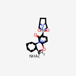 CC(=O)NCOc1ccc(S(=O)(=O)N2C3CCC2CN(CC(=O)Nc2ccccc2C)C3)cc1